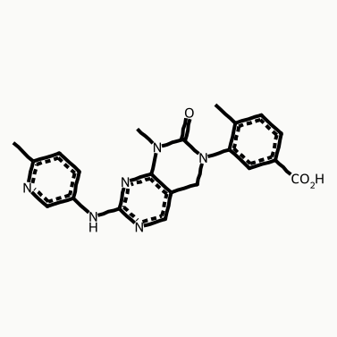 Cc1ccc(Nc2ncc3c(n2)N(C)C(=O)N(c2cc(C(=O)O)ccc2C)C3)cn1